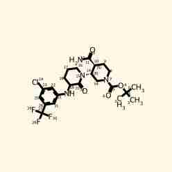 CC(C)(C)OC(=O)N1CC[C@H](C(N)=O)[C@@H](N2CCCC(Nc3cc(Cl)cc(C(F)(F)F)c3)C2=O)C1